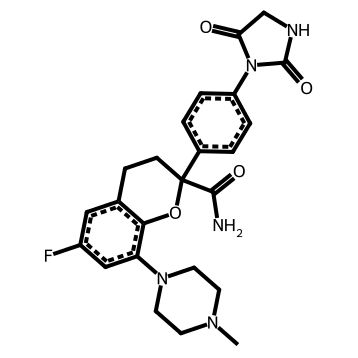 CN1CCN(c2cc(F)cc3c2OC(C(N)=O)(c2ccc(N4C(=O)CNC4=O)cc2)CC3)CC1